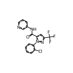 O=C(Nc1cccnc1)c1cc(C(F)(F)F)nn1-c1ccccc1Cl